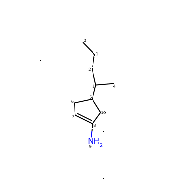 CCCC(C)C1CC=C(N)C1